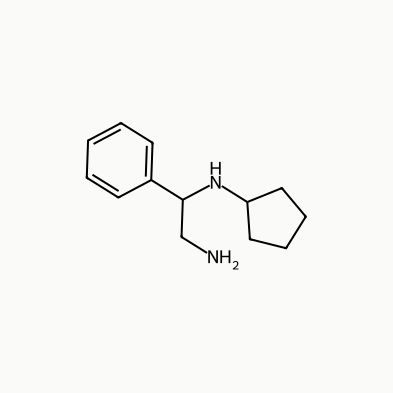 NCC(NC1CCCC1)c1ccccc1